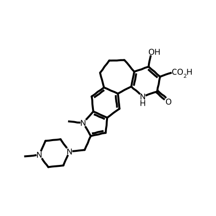 CN1CCN(Cc2cc3cc4c(cc3n2C)CCCc2c-4[nH]c(=O)c(C(=O)O)c2O)CC1